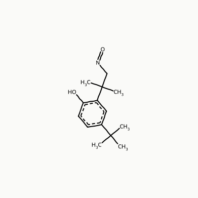 CC(C)(C)c1ccc(O)c(C(C)(C)CN=O)c1